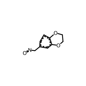 O=NCc1ccc2c(c1)OCCO2